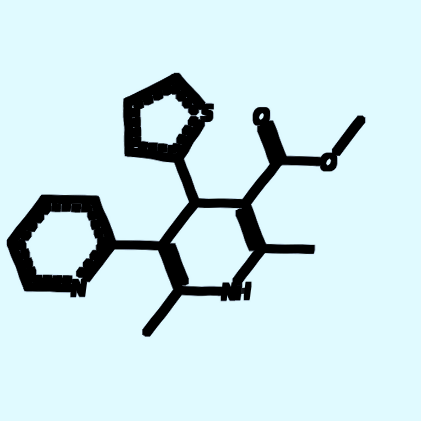 COC(=O)C1=C(C)NC(C)=C(c2ccccn2)C1c1cccs1